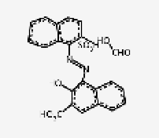 O=C(O)c1cc2ccccc2c(N=Nc2c(S(=O)(=O)O)ccc3ccccc23)c1O.O=CO